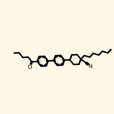 CCCCCCCC1(C#N)CCC(c2ccc(-c3ccc(C(=O)CCCC)cc3)cc2)CC1